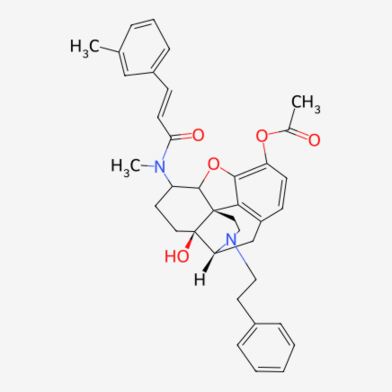 CC(=O)Oc1ccc2c3c1OC1C(N(C)C(=O)/C=C/c4cccc(C)c4)CC[C@@]4(O)[C@@H](C2)N(CCc2ccccc2)CC[C@]314